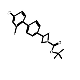 CC(C)(C)OC(=O)N1CC(c2ccc(-c3ccc(Cl)cc3F)cc2)C1